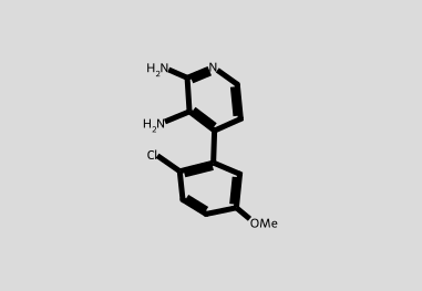 COc1ccc(Cl)c(-c2ccnc(N)c2N)c1